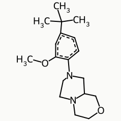 COc1cc(C(C)(C)C)ccc1N1CCN2CCOCC2C1